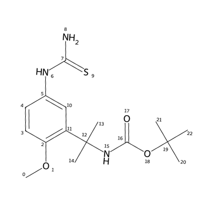 COc1ccc(NC(N)=S)cc1C(C)(C)NC(=O)OC(C)(C)C